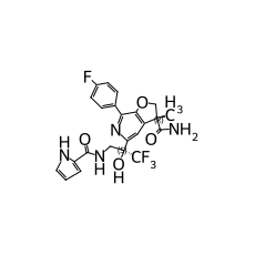 C[C@]1(C(N)=O)COc2c1cc([C@@](O)(CNC(=O)c1ccc[nH]1)C(F)(F)F)nc2-c1ccc(F)cc1